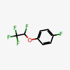 Fc1ccc(OC(F)C(F)(F)F)cc1